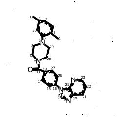 Cc1ccc(C)c(N2CCN(C(=O)c3ccc(-n4nnc5cccnc54)cc3)CC2)c1